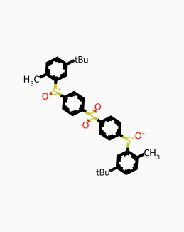 Cc1ccc(C(C)(C)C)cc1[S+]([O-])c1ccc(S(=O)(=O)c2ccc([S+]([O-])c3cc(C(C)(C)C)ccc3C)cc2)cc1